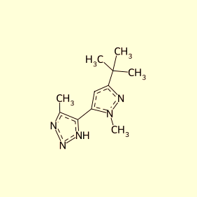 Cc1nn[nH]c1-c1cc(C(C)(C)C)nn1C